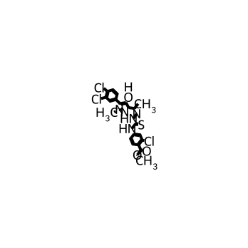 COC(=O)c1ccc(NC(=S)NN=C(C)c2nn(C)c(-c3ccc(Cl)c(Cl)c3)c2O)cc1Cl